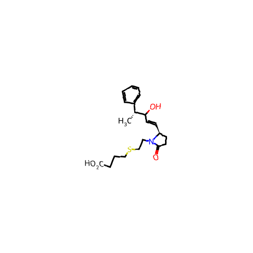 C[C@H](c1ccccc1)C(O)/C=C/[C@H]1CCC(=O)N1CCSCCCC(=O)O